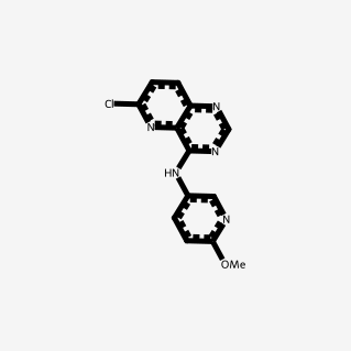 COc1ccc(Nc2ncnc3ccc(Cl)nc23)cn1